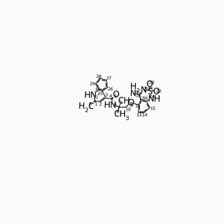 C=C1C=C(C(=O)NC(C)(C)COc2cccc3c2C(N)=NS(=O)(=O)N3)c2ccccc2N1